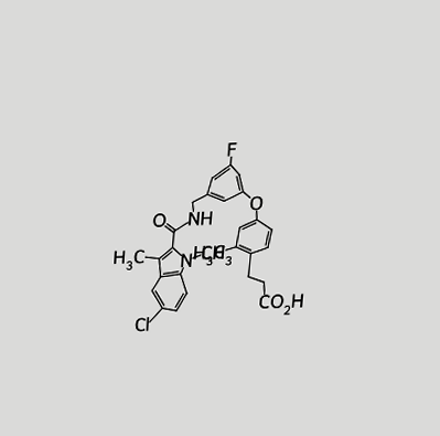 Cc1cc(Oc2cc(F)cc(CNC(=O)c3c(C)c4cc(Cl)ccc4n3C)c2)ccc1CCC(=O)O